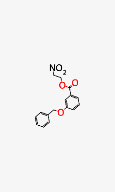 O=C(OCC[N+](=O)[O-])c1cccc(OCc2ccccc2)c1